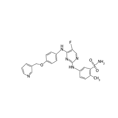 Cc1ccc(Nc2ncc(F)c(Nc3ccc(OCc4cccnc4)cc3)n2)cc1S(N)(=O)=O